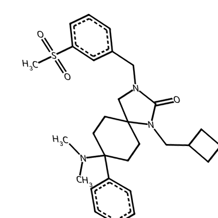 CN(C)C1(c2ccccc2)CCC2(CC1)CN(Cc1cccc(S(C)(=O)=O)c1)C(=O)N2CC1CCC1